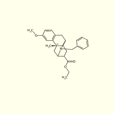 CCOC(=O)C1CC2C3Cc4ccc(OC)cc4[C@@]2(C)CC1N3Cc1ccccc1